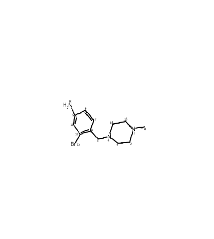 CN1CCN(Cc2ccc(N)cc2Br)CC1